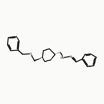 C(=N\NC[C@H]1CC[C@H](COCc2ccccc2)CC1)/c1ccccc1